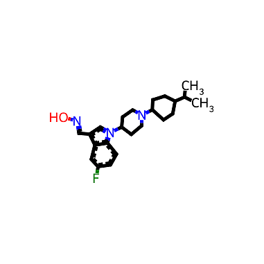 CC(C)C1CCC(N2CCC(n3cc(C=NO)c4cc(F)ccc43)CC2)CC1